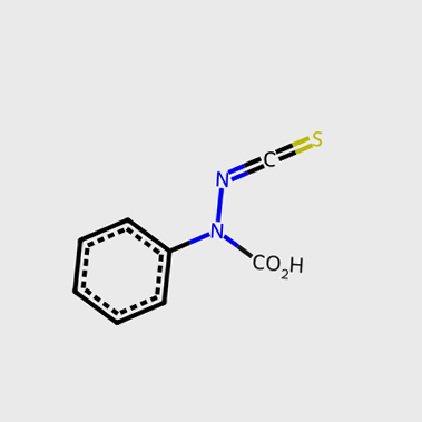 O=C(O)N(N=C=S)c1ccccc1